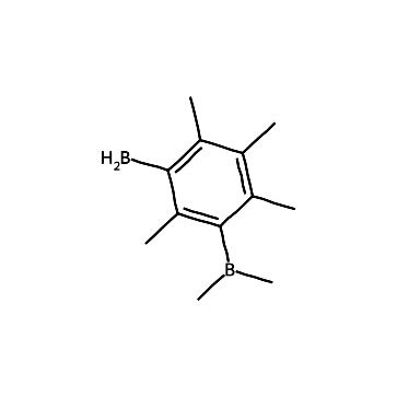 Bc1c(C)c(C)c(C)c(B(C)C)c1C